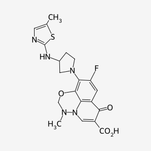 Cc1cnc(NC2CCN(c3c(F)cc4c(=O)c(C(=O)O)cn5c4c3OCN5C)C2)s1